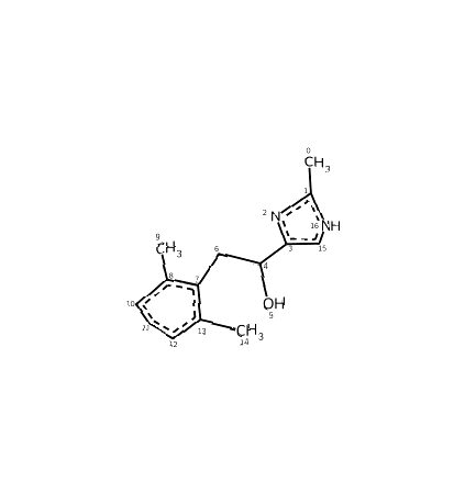 Cc1nc(C(O)Cc2c(C)cccc2C)c[nH]1